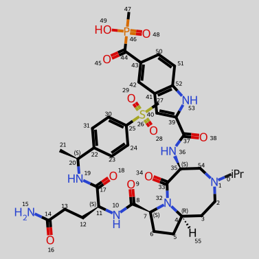 CC(C)N1CC[C@H]2CC[C@@H](C(=O)N[C@@H](CCC(N)=O)C(=O)N[C@@H](C)c3ccc(S(C)(=O)=O)cc3)N2C(=O)[C@@H](NC(=O)c2cc3cc(C(=O)P(C)(=O)O)ccc3[nH]2)C1